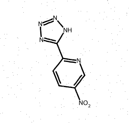 O=[N+]([O-])c1ccc(-c2nnn[nH]2)nc1